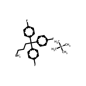 C[N+](C)(C)C.[BH3-]CCCC(c1ccc(F)cc1)(c1ccc(F)cc1)c1ccc(F)cc1